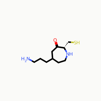 NCCCC1CCN[C@@H](CS)C(=O)C1